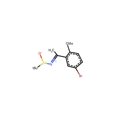 COc1ccc(Br)cc1/C(C)=N/[S+]([O-])C(C)(C)C